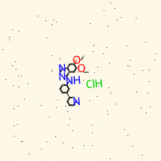 CCOc1cc2ncnc(Nc3cccc(-c4cccnc4)c3)c2cc1OCC.Cl